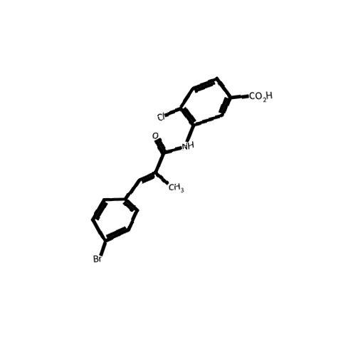 C/C(=C\c1ccc(Br)cc1)C(=O)Nc1cc(C(=O)O)ccc1Cl